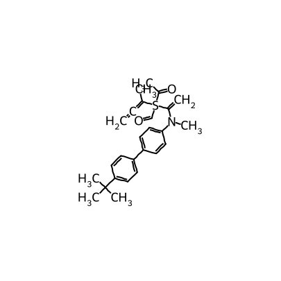 C=C=C(C)S(C=O)(C(=C)N(C)c1ccc(-c2ccc(C(C)(C)C)cc2)cc1)C(C)=O